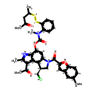 COC(=O)CC(C)SSc1ccccc1N(C)C(=O)Oc1cc2c(c3c(C(=O)OC)c(C)[nH]c13)[C@H](CCl)CN2C(=O)c1cc2cc(OC)ccc2o1